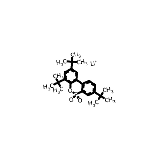 CC(C)(C)c1cc2c(c(C(C)(C)C)c1)OP(=O)([O-])c1cc(C(C)(C)C)ccc1-2.[Li+]